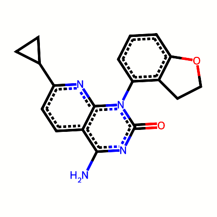 Nc1nc(=O)n(-c2cccc3c2CCO3)c2nc(C3CC3)ccc12